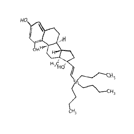 CCC[CH2][Sn](/[CH]=C/[C@]1(O)CC[C@H]2[C@@H]3CCc4cc(O)cc(O)c4[C@H]3CC[C@@]21C)([CH2]CCC)[CH2]CCC